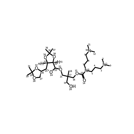 CN(C)CCCN(CCCN(C)C)C(=O)OCC(C)(CO)COC1O[C@H]([C@H]2COC(C)(C)O2)[C@@H]2OC(C)(C)O[C@H]12